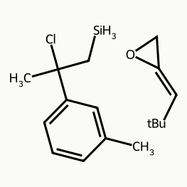 CC(C)(C)C=C1CO1.Cc1cccc(C(C)(Cl)C[SiH3])c1